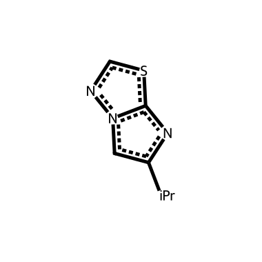 CC(C)c1cn2ncsc2n1